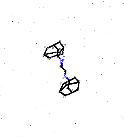 C(C=NC12CC3CC(CC(C3)C1)C2)=NC12CC3CC(CC(C3)C1)C2